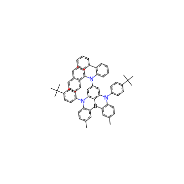 Cc1ccc2c(c1)B1c3cc(C)ccc3N(c3ccc(C(C)(C)C)cc3)c3cc(N(c4ccccc4-c4ccccc4)c4cccc5ccccc45)cc(c31)N2c1ccc(C(C)(C)C)cc1